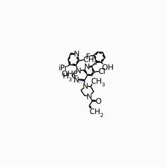 C=CC(=O)N1CCN(/C(=N/C)c2cc(Cl)c(-c3c(O)cccc3F)nc2N(C=O)c2c(C(C)C)ccnc2C)C(C)C1